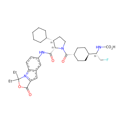 CCC1(CC)OC(=O)c2cc3cc(NC(=O)[C@@H]4[C@H](C5CCCCC5)CCN4C(=O)[C@H]4CC[C@H]([C@@H](CF)NC(=O)O)CC4)ccc3n21